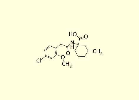 COc1cc(Cl)ccc1CC(=O)NC1(C(=O)O)CCCC(C)C1